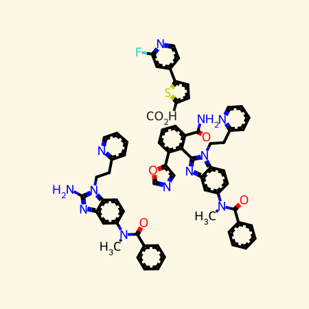 CN(C(=O)c1ccccc1)c1ccc2c(c1)nc(-c1c(C(N)=O)cccc1-c1cnco1)n2CCc1ccccn1.CN(C(=O)c1ccccc1)c1ccc2c(c1)nc(N)n2CCc1ccccn1.O=C(O)c1ccc(-c2ccnc(F)c2)s1